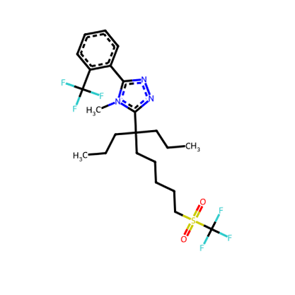 CCCC(CCC)(CCCCCS(=O)(=O)C(F)(F)F)c1nnc(-c2ccccc2C(F)(F)F)n1C